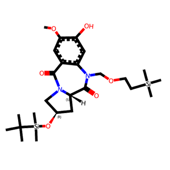 COc1cc2c(cc1O)N(COCC[Si](C)(C)C)C(=O)[C@@H]1C[C@@H](O[Si](C)(C)C(C)(C)C)CN1C2=O